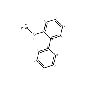 CCCCNc1ccccc1-c1ccccc1